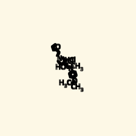 CC(C)Oc1ccc(N(C)CCC2(O)CCN(CCc3ccco3)CC2)cc1.Cl.Cl